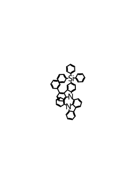 c1ccc(-c2cccc3c2c2cc([Si](c4ccccc4)(c4ccccc4)c4ccccc4)ccc2n3-c2cccc3c4ccccc4n(-c4ccccc4)c23)cc1